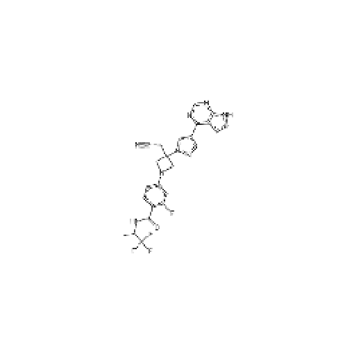 CC(NC(=O)c1ccc(N2CC(CC#N)(n3cc(-c4ncnc5[nH]ccc45)cn3)C2)cc1F)C(F)(F)F